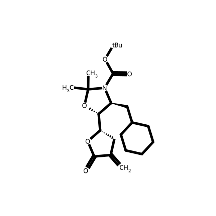 C=C1C[C@@H]([C@@H]2OC(C)(C)N(C(=O)OC(C)(C)C)[C@H]2CC2CCCCC2)OC1=O